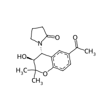 CC(=O)c1ccc2c(c1)[C@@H](N1CCCC1=O)[C@H](O)C(C)(C)O2